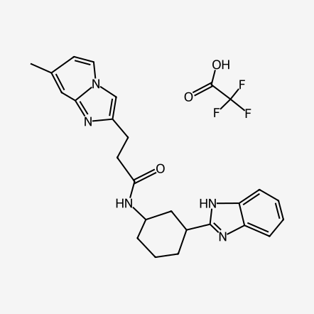 Cc1ccn2cc(CCC(=O)NC3CCCC(c4nc5ccccc5[nH]4)C3)nc2c1.O=C(O)C(F)(F)F